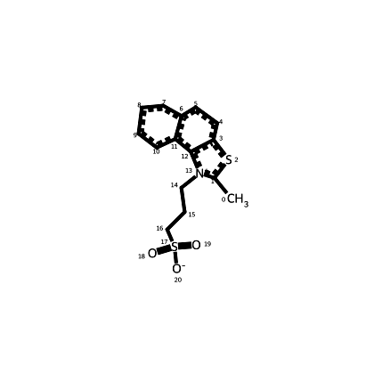 Cc1sc2ccc3ccccc3c2[n+]1CCCS(=O)(=O)[O-]